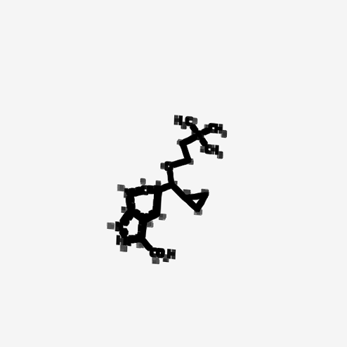 C[Si](C)(C)CCOC(c1cnc2n[nH]c(C(=O)O)c2c1)C1CC1